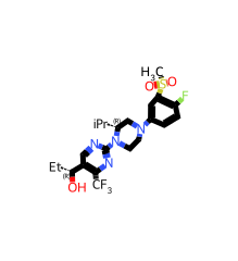 CC[C@@H](O)c1cnc(N2CCN(c3ccc(F)c(S(C)(=O)=O)c3)C[C@H]2C(C)C)nc1C(F)(F)F